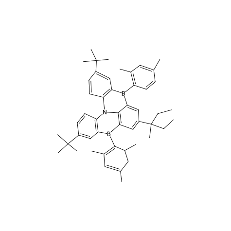 CCC(C)(CC)c1cc2c3c(c1)B(c1ccc(C)cc1C)c1cc(C(C)(C)C)ccc1N3c1ccc(C(C)(C)C)cc1B2C1=C(C)C=C(C)CC1C